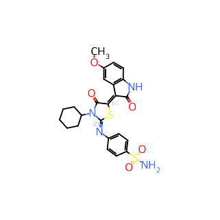 COc1ccc2c(c1)/C(=C1/S/C(=N\c3ccc(S(N)(=O)=O)cc3)N(C3CCCCC3)C1=O)C(=O)N2